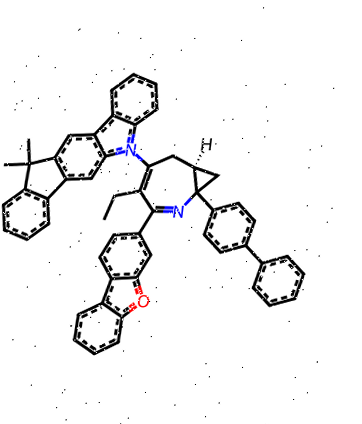 CCC1=C(n2c3ccccc3c3cc4c(cc32)-c2ccccc2C4(C)C)C[C@H]2CC2(c2ccc(-c3ccccc3)cc2)N=C1c1ccc2c(c1)oc1ccccc12